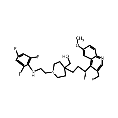 COc1ccc2ncc(CF)c([C@@H](F)CCC3(CO)CCN(CCNc4c(F)cc(F)cc4F)CC3)c2c1